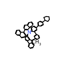 CC12c3cccc(c3)-c3cc(-c4ccc(C5CCCCC5)cc4)ccc3N(c3c(-c4cccc5ccccc45)ccc4ccccc34)c3ccc(c1c3)-c1ccccc12